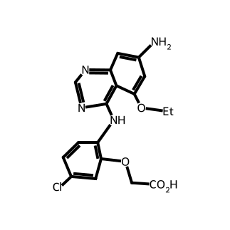 CCOc1cc(N)cc2ncnc(Nc3ccc(Cl)cc3OCC(=O)O)c12